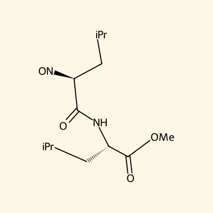 COC(=O)[C@H](CC(C)C)NC(=O)[C@H](CC(C)C)N=O